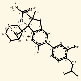 CC(C)Oc1ccc(-c2cc3c(cc2F)[C@@](OC(N)=O)([C@@H]2CN4CCC2CC4)C(C)(C)C3)cc1F